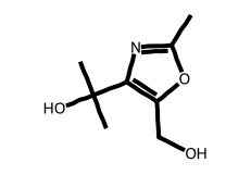 Cc1nc(C(C)(C)O)c(CO)o1